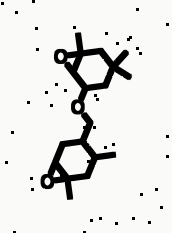 CC1CC2(C)OC2CC1COC1CC(C)(C)CC2(C)OC12